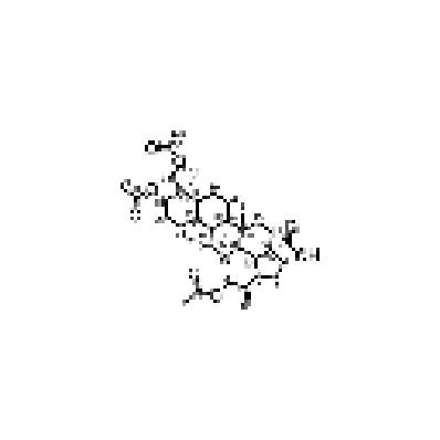 C=C(COC(C)=O)C1CC[C@]2(C(=O)O)CC[C@]3(C)C(CCC4[C@@]5(C)CC[C@H](OC(C)=O)[C@@](C)(COC(C)=O)C5CC[C@]43C)C12